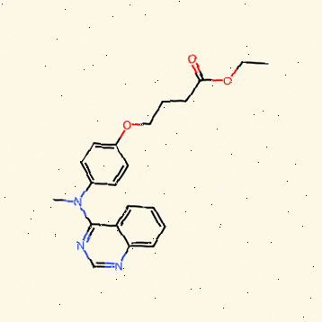 CCOC(=O)CCCOc1ccc(N(C)c2ncnc3ccccc23)cc1